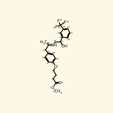 COC(=O)CCCOc1ccc(CC(C)NCC(O)c2cccc(C(F)(F)F)c2)cc1